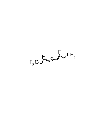 FC(=CSC=C(F)CC(F)(F)F)CC(F)(F)F